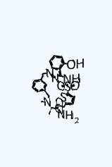 C[C@H](C(N)=O)N(C)Cc1cccc(Cn2nc(NS(=O)(=O)c3ccc(Cl)s3)c3c(O)cccc32)c1